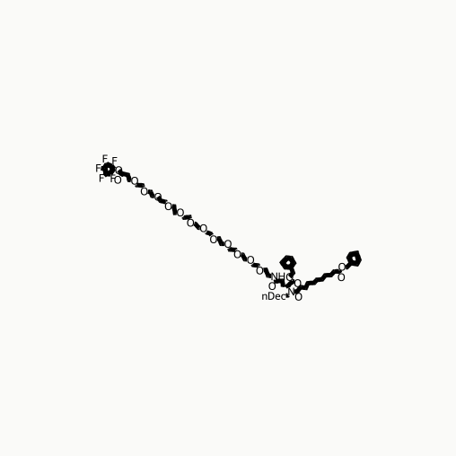 CCCCCCCCCCCN(C(=O)CCCCCCCCCC(=O)OCc1ccccc1)[C@@H](CCC(=O)NCCOCCOCCOCCOCCOCCOCCOCCOCCOCCOCCOCCOCCC(=O)Oc1c(F)c(F)c(F)c(F)c1F)C(=O)OCc1ccccc1